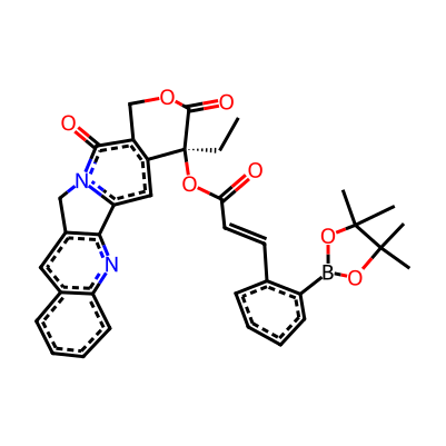 CC[C@@]1(OC(=O)/C=C/c2ccccc2B2OC(C)(C)C(C)(C)O2)C(=O)OCc2c1cc1n(c2=O)Cc2cc3ccccc3nc2-1